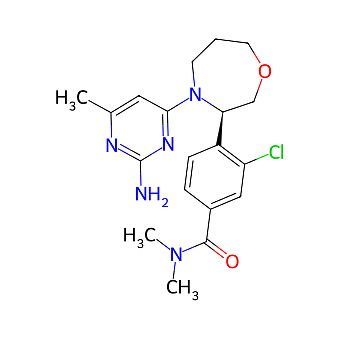 Cc1cc(N2CCCOC[C@H]2c2ccc(C(=O)N(C)C)cc2Cl)nc(N)n1